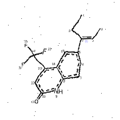 C/C=C(\CC)c1ccc2[nH]c(=O)cc(C(F)(F)F)c2c1